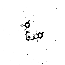 Cc1ccc(NC(=O)Cn2cc[n+](CC(=O)Nc3ccc(C)cc3O)c2)c(O)c1